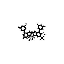 COc1c(C(C)(C)C)cc2c(c1-c1cc(C)cc(C)c1)C=C(C)[CH]2[Zr]([CH3])([CH3])([CH]1C(C)=Cc2c(-c3cc(C)cc(C)c3)cc(C)cc21)[SiH](C)C